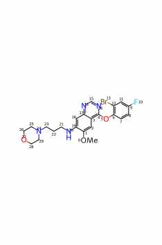 COc1cc2c(Oc3ccc(F)cc3Br)ncnc2cc1NCCCN1CCOCC1